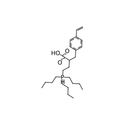 C=Cc1ccc(CC(CC[PH](CCCC)(CCCC)CCCC)S(=O)(=O)O)cc1